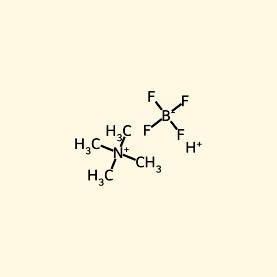 C[N+](C)(C)C.F[B-](F)(F)F.[H+]